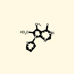 Cc1c(C(=O)O)n(-c2cccs2)c2nc[nH]c(=O)c12